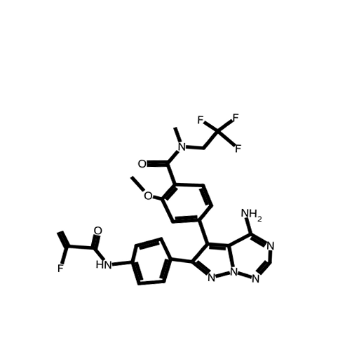 C=C(F)C(=O)Nc1ccc(-c2nn3ncnc(N)c3c2-c2ccc(C(=O)N(C)CC(F)(F)F)c(OC)c2)cc1